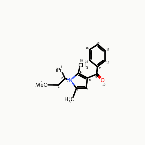 COCC(C(C)C)n1c(C)cc(C(=O)c2ccccc2)c1C